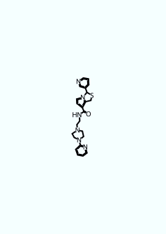 O=C(NCCN1CCN(c2ccccn2)CC1)c1ccn2c1CSC2c1cccnc1